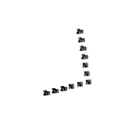 [Ni].[Ni].[Ni].[Ni].[Ni].[Zn].[Zn].[Zn].[Zn].[Zn].[Zn].[Zn]